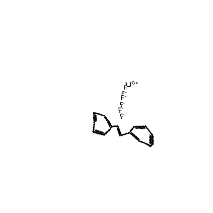 C(=Cc1ccccc1)c1ccccc1.[F-].[F-].[F-].[F-].[F-].[F-].[U+6]